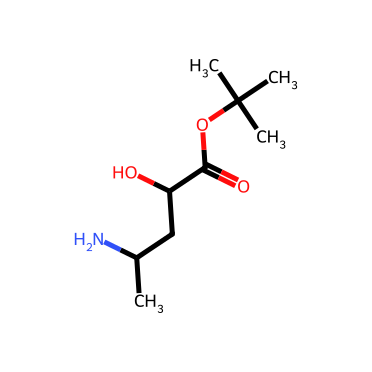 CC(N)CC(O)C(=O)OC(C)(C)C